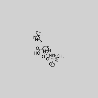 Cc1nnc(SCC2=C(C(=O)O)N3C(=O)C(NC(=O)C(c4ccco4)S(C)(=O)=O)[C@H]3SC2)s1